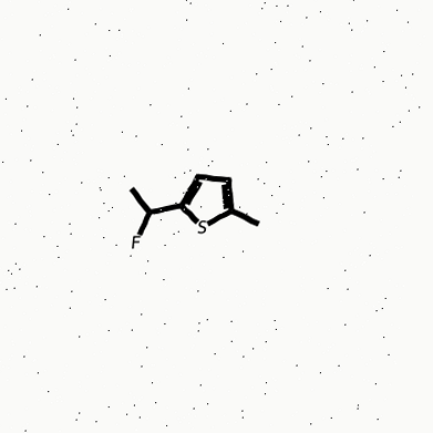 Cc1ccc(C(C)F)s1